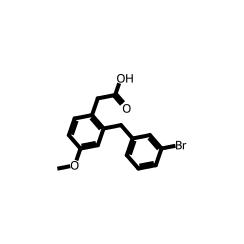 COc1ccc(CC(=O)O)c(Cc2cccc(Br)c2)c1